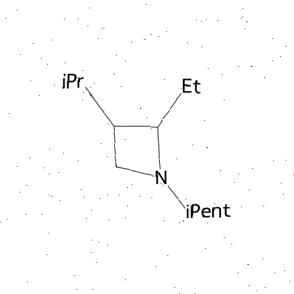 CCCC(C)N1CC(C(C)C)C1CC